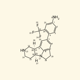 Nc1ccc(-c2cc3c4c(c2)[C@@H]2CNCC[C@@H]2N4CC3)c(C(F)(F)F)c1